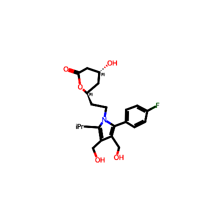 CC(C)c1c(CO)c(CO)c(-c2ccc(F)cc2)n1CC[C@@H]1C[C@@H](O)CC(=O)O1